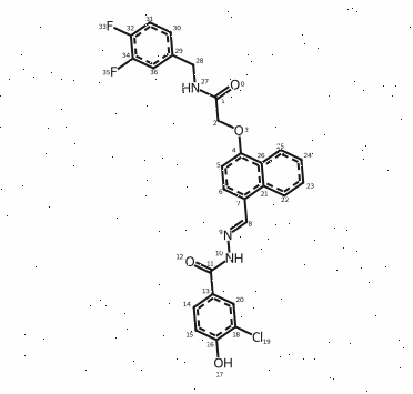 O=C(COc1ccc(/C=N/NC(=O)c2ccc(O)c(Cl)c2)c2ccccc12)NCc1ccc(F)c(F)c1